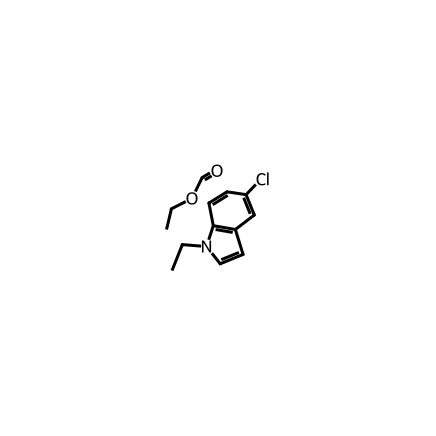 CCOC=O.CCn1ccc2cc(Cl)ccc21